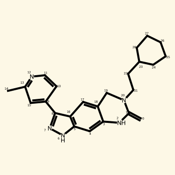 C=C1Nc2cc3[nH]nc(-c4ccnc(C)c4)c3cc2CN1CCC1CCCCC1